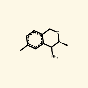 Cc1ccc2c(c1)C(N)[C@H](C)OC2